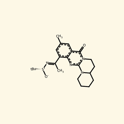 C/C(=N\[S@+]([O-])C(C)(C)C)c1cc(C)cc2c(=O)n3c(nc12)N1CCCCC1CC3